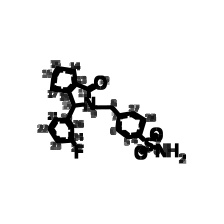 NS(=O)(=O)c1ccc(CCN2C(=O)c3ccccc3C2c2cccc(F)c2)cc1